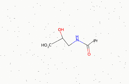 CC(C)C(=O)NCC(O)C(=O)O